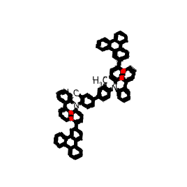 Cc1cc(-c2ccc(N(c3ccc(-c4ccc5c6ccccc6c6ccccc6c5c4)cc3)c3ccccc3-c3ccccc3)c(C)c2)ccc1N(c1ccc(-c2ccc3c4ccccc4c4ccccc4c3c2)cc1)c1ccccc1-c1ccccc1